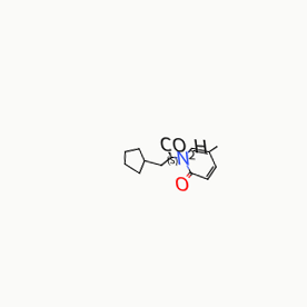 Cc1ccc(=O)n([C@@H](CC2CCCC2)C(=O)O)c1